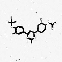 CC(=O)N[C@@H]1CCN(c2cc(-c3ccc(OC(F)(F)F)c(F)c3)nc(C)n2)C[C@H]1F